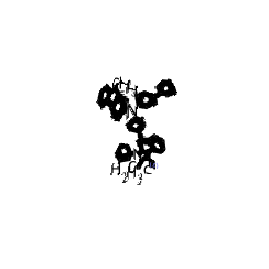 C=Cc1c(/C=C\C)c2c3ccccc3c(-c3ccc(N(c4ccc(-c5ccccc5)cc4)c4ccc5c(c4)C(C)(C)c4ccccc4-5)cc3)cc2n1-c1ccccc1